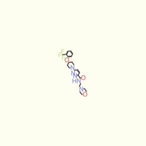 O=C(NCCN1CCOCC1)c1ccc(N2CCC(Oc3ccccc3C(F)(F)F)CC2)nn1